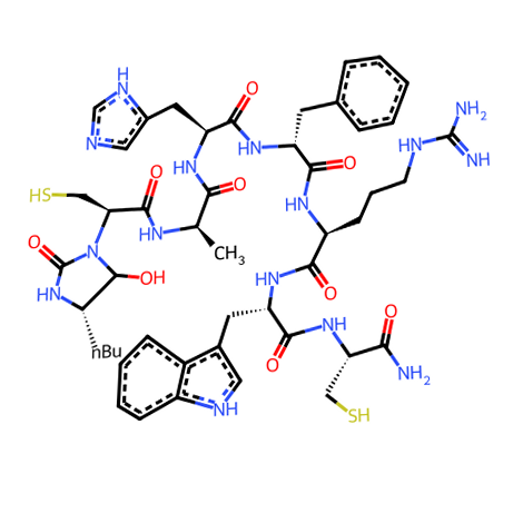 CCCC[C@@H]1NC(=O)N([C@@H](CS)C(=O)N[C@H](C)C(=O)N[C@@H](Cc2cnc[nH]2)C(=O)N[C@H](Cc2ccccc2)C(=O)N[C@@H](CCCNC(=N)N)C(=O)N[C@@H](Cc2c[nH]c3ccccc23)C(=O)N[C@@H](CS)C(N)=O)C1O